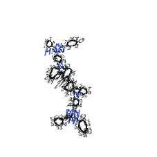 c1ccc(C2=NC(c3ccccc3)NC(c3ccc(-n4c5ccccc5c5cc(-c6ccc7c(c6)c6ccccc6n7-c6ccc(-c7nc(-c8ccccc8)nc(-c8ccccc8)n7)cc6)ccc54)cc3)=N2)cc1